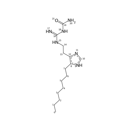 CCCCCCCCc1[nH]cnc1CCNC(=N)NC(N)=O